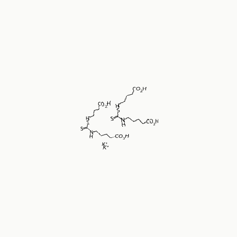 O=C(O)CCCCNC(=S)[SH-]CCCCC(=O)O.O=C(O)CCCCNC(=S)[SH-]CCCCC(=O)O.[K+].[K+]